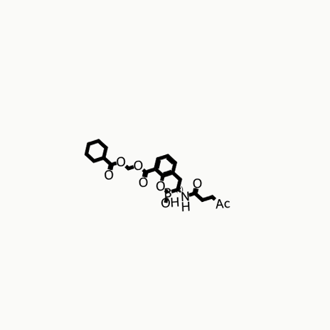 CC(=O)CCC(=O)N[C@H]1Cc2cccc(C(=O)OCOC(=O)C3CCCCC3)c2OB1O